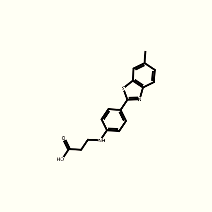 Cc1ccc2nc(-c3ccc(NCCC(=O)O)cc3)sc2c1